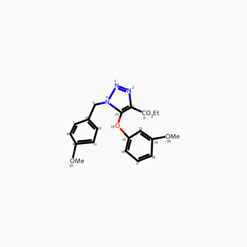 CCOC(=O)c1nnn(Cc2ccc(OC)cc2)c1Oc1cccc(OC)c1